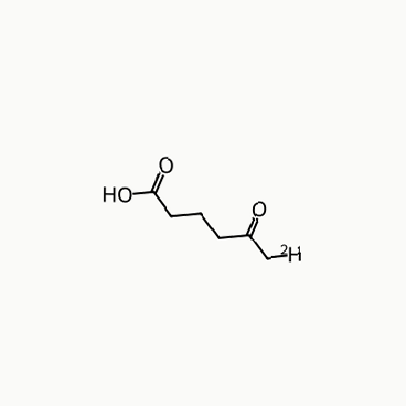 [2H]CC(=O)CCCC(=O)O